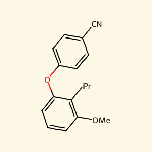 COc1cccc(Oc2ccc(C#N)cc2)c1C(C)C